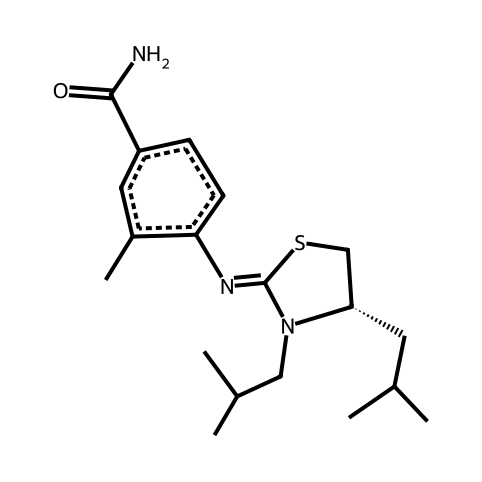 Cc1cc(C(N)=O)ccc1N=C1SC[C@H](CC(C)C)N1CC(C)C